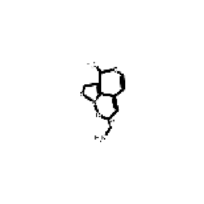 CC1OC=CC2=C[C@@H](CN)OB3OCC1=C32